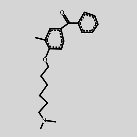 Cc1cc(C(=O)c2ccccc2)ccc1OCCCCCCN(C)C